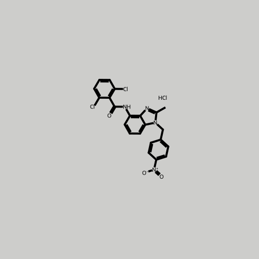 Cc1nc2c(NC(=O)c3c(Cl)cccc3Cl)cccc2n1Cc1ccc([N+](=O)[O-])cc1.Cl